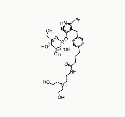 CC(C)c1[nH]nc(O[C@@H]2O[C@H](CO)[C@@H](O)[C@H](O)[C@H]2O)c1Cc1ccc(CCCC(=O)NCCN(CCO)CCO)cc1